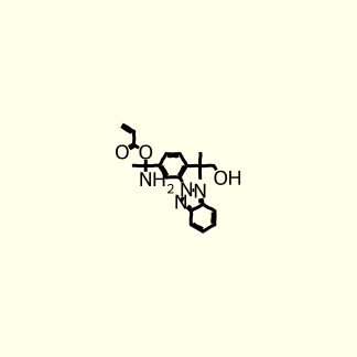 C=CC(=O)OC(C)(N)c1ccc(C(C)(C)CO)c(-n2nc3ccccc3n2)c1